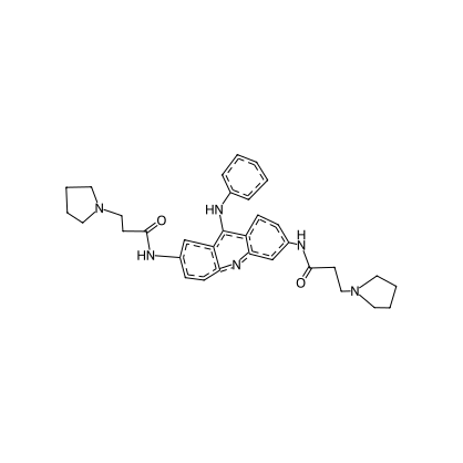 O=C(CCN1CCCC1)Nc1ccc2c(Nc3ccccc3)c3cc(NC(=O)CCN4CCCC4)ccc3nc2c1